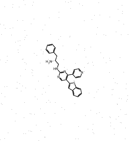 N[C@@H](CNc1ncc(-c2cc3ccccc3s2)c(-c2ccncc2)n1)Cc1ccccc1